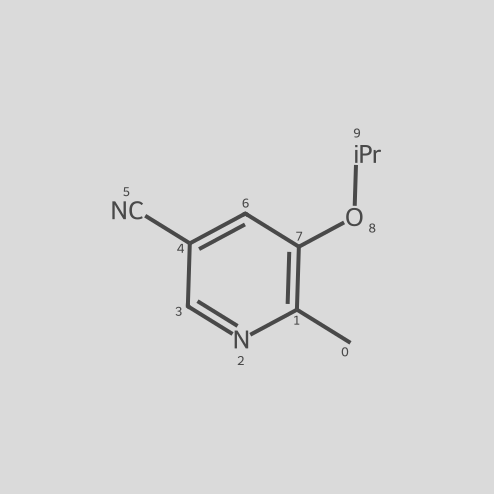 Cc1ncc(C#N)cc1OC(C)C